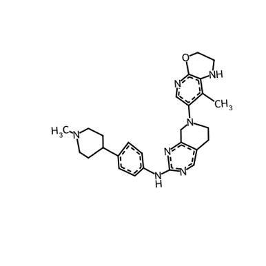 Cc1c(N2CCc3cnc(Nc4ccc(C5CCN(C)CC5)cc4)nc3C2)cnc2c1NCCO2